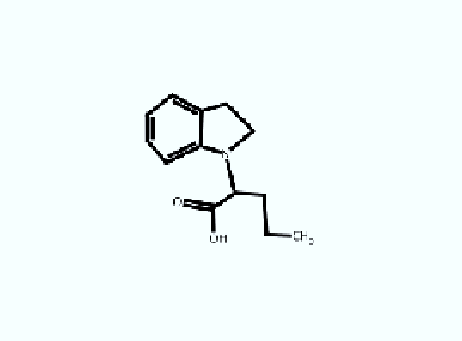 CCCC(C(=O)O)N1CCc2ccccc21